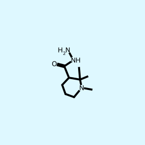 CN1CCCC(C(=O)NN)C1(C)C